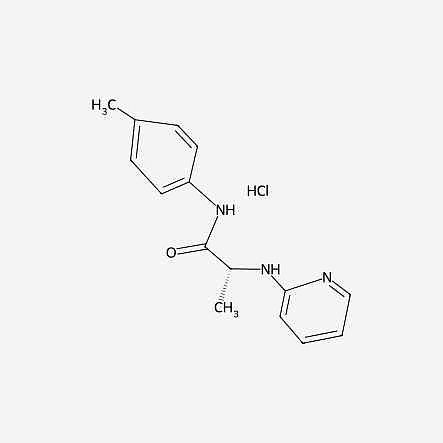 Cc1ccc(NC(=O)[C@@H](C)Nc2ccccn2)cc1.Cl